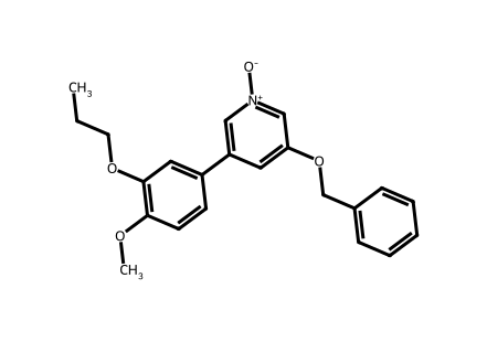 CCCOc1cc(-c2cc(OCc3ccccc3)c[n+]([O-])c2)ccc1OC